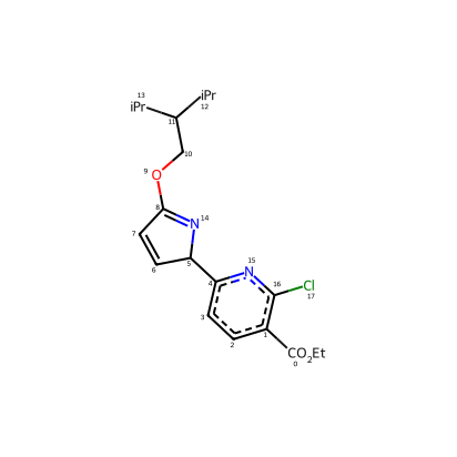 CCOC(=O)c1ccc(C2C=CC(OCC(C(C)C)C(C)C)=N2)nc1Cl